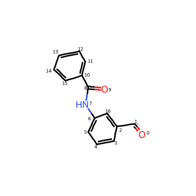 O=[C]c1cccc(NC(=O)c2ccccc2)c1